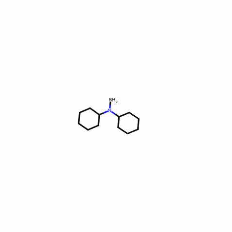 BN(C1CCCCC1)C1CCCCC1